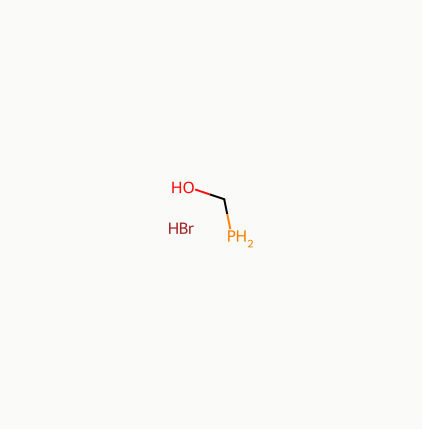 Br.OCP